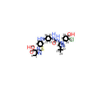 CCc1nc2sc3cc(Nc4ccc(NC(=O)Nc5cc(C(C)(C)C)nn5-c5ccc(O)c(Cl)c5)cc4)ccc3n2c1C(=O)O